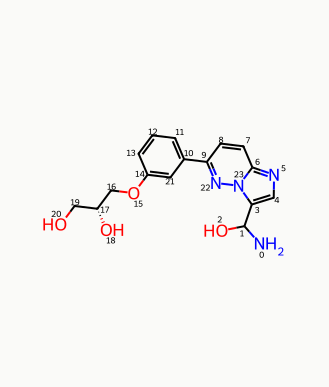 NC(O)c1cnc2ccc(-c3cccc(OC[C@H](O)CO)c3)nn12